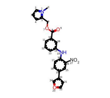 Cn1cccc1COC(=O)c1cccc(Nc2ccc(-c3ccoc3)cc2[N+](=O)[O-])c1